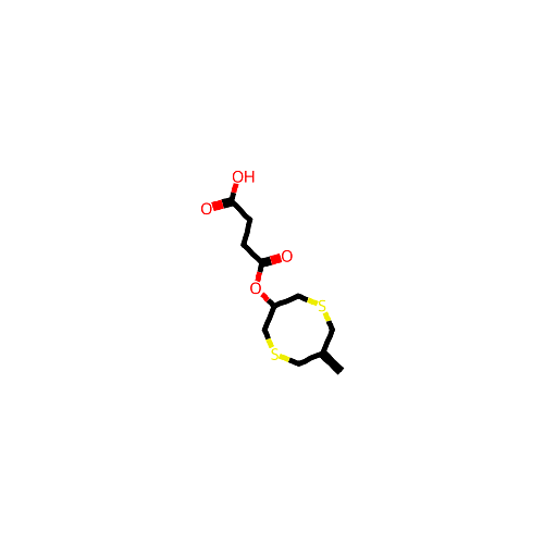 C=C1CSCC(OC(=O)CCC(=O)O)CSC1